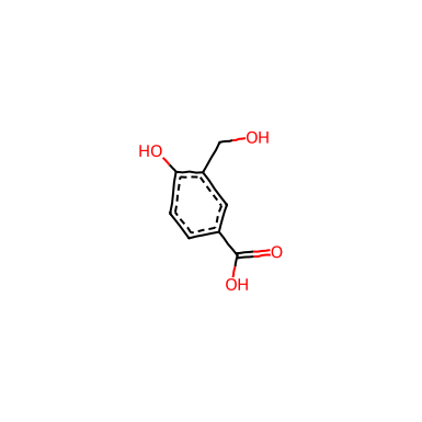 O=C(O)c1ccc(O)c(CO)c1